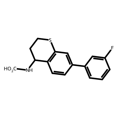 O=C(O)NC1CCSc2cc(-c3cccc(F)c3)ccc21